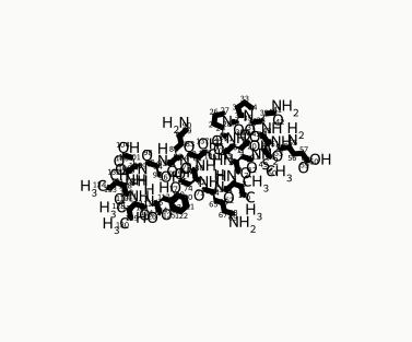 CC[C@H](C)[C@H](NC(=O)[C@H](CC(N)=O)NC(=O)[C@H](CC(=O)O)NC(=O)[C@@H]1CCCN1C(=O)[C@@H]1CCCN1C(=O)[C@H](CC(N)=O)NC(=O)[C@H](CCSC)NC(=O)[C@@H](N)CCC(=O)O)C(=O)N[C@@H](CCCCN)C(=O)N[C@@H](CC(=O)O)C(=O)N[C@H](C(=O)N[C@@H](CCCCN)C(=O)N[C@@H](CO)C(=O)N[C@@H](CC(=O)O)C(=O)N[C@H](C(=O)N[C@H](C(=O)N[C@@H](Cc1ccccc1)C(=O)O)[C@@H](C)CC)[C@@H](C)CC)[C@@H](C)O